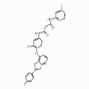 Cc1ccc(-c2cc3nccc(Oc4ccc(NC(=O)CC(=O)Nc5cccc(F)c5)cc4F)c3s2)cc1